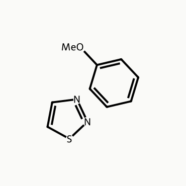 COc1ccccc1.c1csnn1